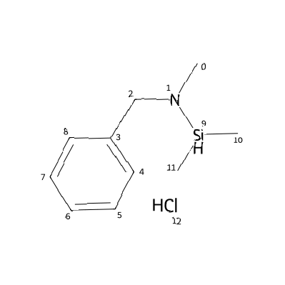 CN(Cc1ccccc1)[SiH](C)C.Cl